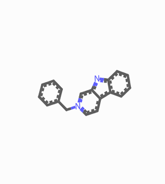 c1ccc(Cn2ccc3c4ccccc4nc-3c2)cc1